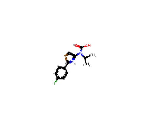 CC(C)N(C(=O)O)c1csc(-c2ccc(F)cc2)n1